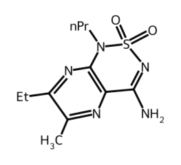 CCCN1c2nc(CC)c(C)nc2C(N)=NS1(=O)=O